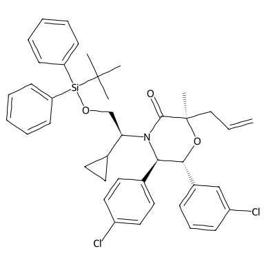 C=CC[C@@]1(C)O[C@H](c2cccc(Cl)c2)[C@@H](c2ccc(Cl)cc2)N([C@H](CO[Si](c2ccccc2)(c2ccccc2)C(C)(C)C)C2CC2)C1=O